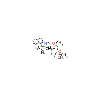 CC1N(CCOC(C)(C)CCOC(C)(C)C)c2ccc3ccccc3c2C1(C)C